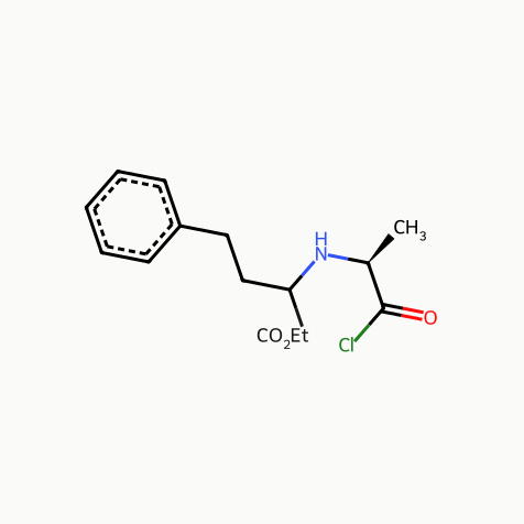 CCOC(=O)C(CCc1ccccc1)N[C@@H](C)C(=O)Cl